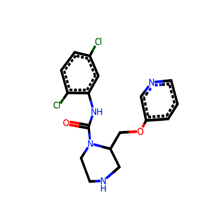 O=C(Nc1cc(Cl)ccc1Cl)N1CCNCC1COc1cccnc1